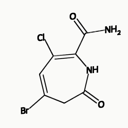 NC(=O)C1=C(Cl)C=C(Br)CC(=O)N1